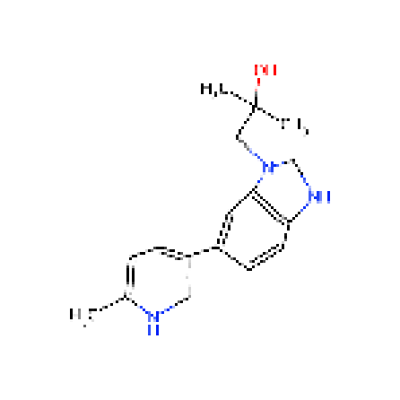 CC1=CC=C(c2ccc3c(c2)N(CC(C)(C)O)CN3)CN1